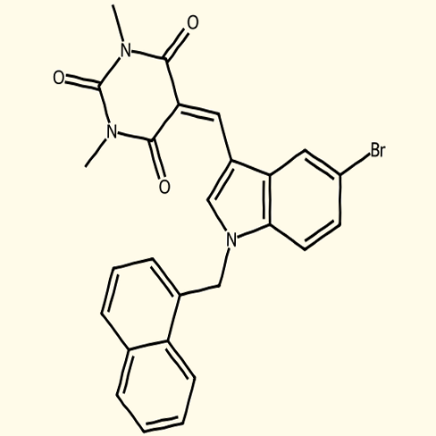 CN1C(=O)C(=Cc2cn(Cc3cccc4ccccc34)c3ccc(Br)cc23)C(=O)N(C)C1=O